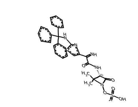 CC1(C)[C@H](NC(=O)C(=N)c2csc(NC(c3ccccc3)(c3ccccc3)c3ccccc3)n2)C(=O)N1OS(=O)(=O)O